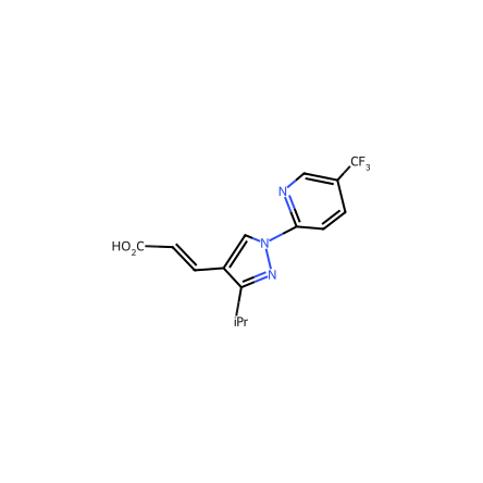 CC(C)c1nn(-c2ccc(C(F)(F)F)cn2)cc1/C=C/C(=O)O